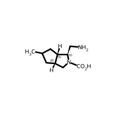 CC1C[C@H]2CN(C(=O)O)[C@H](CN)[C@H]2C1